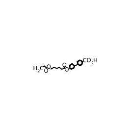 C=CC(=O)OCCCCCC(=O)Oc1ccc(-c2ccc(C(=O)O)cc2)cc1